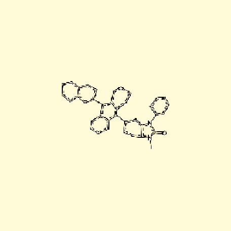 Cn1c(=O)n(-c2ccccc2)c2cc(-c3c4ccccc4c(-c4ccc5ccccc5c4)c4ccccc34)ccc21